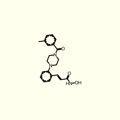 Cc1cccc(C(=O)N2CCN(c3ccccc3C=CC(=O)NO)CC2)c1